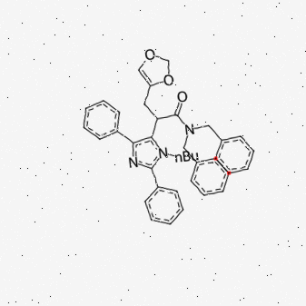 CCCCn1c(-c2ccccc2)nc(-c2ccccc2)c1C(CC1=COCO1)C(=O)N(Cc1ccccc1)Cc1ccccc1